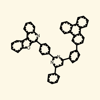 c1ccc(-c2cc(-c3cccc(-c4ccc5c6ccccc6c6ccccc6c5c4)c3)nc(-c3ccc(-c4nc5ccccc5c5c4oc4ccccc45)cc3)n2)cc1